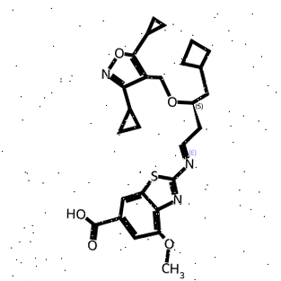 COc1cc(C(=O)O)cc2sc(/N=C/C[C@H](CC3CCC3)OCc3c(C4CC4)noc3C3CC3)nc12